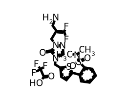 CN(C)S(=O)(=O)c1ccccc1-c1ccc(Cn2cnn(CC(CN)=C(F)F)c2=O)s1.O=C(O)C(F)(F)F